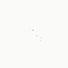 Cc1cc(Oc2c(F)cccc2F)ncc1-n1ncc(C(=O)c2cc3nc4c(cc3[nH]2)CC(CO)N(C2COC2)C4)c1N